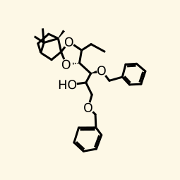 CCC1OC2(CC3CC[C@@]2(C)C3(C)C)O[C@H]1[C@@H](OCc1ccccc1)C(O)COCc1ccccc1